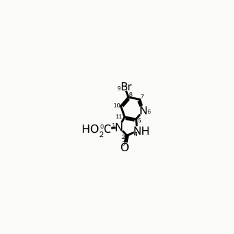 O=C(O)n1c(=O)[nH]c2ncc(Br)cc21